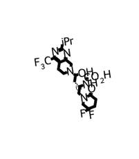 CC(C)c1nc2c(c(C(F)(F)F)n1)CCN(C(O)C[C@@H](CN1CC(F)(F)CCC1=O)NC(=O)O)C2